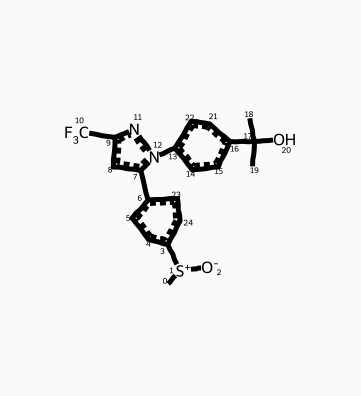 C[S+]([O-])c1ccc(-c2cc(C(F)(F)F)nn2-c2ccc(C(C)(C)O)cc2)cc1